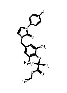 CCOC(=O)C(C)(C)Oc1c(C)cc(Cn2ccn(-c3ccc(Br)cc3)c2=O)cc1C